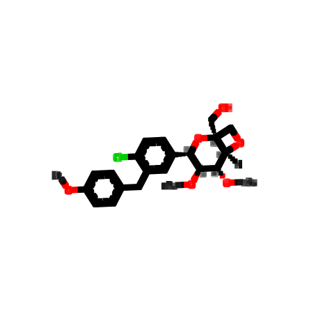 CCCCO[C@@H]1[C@@H](OCCCC)[C@@H]2OC[C@]2(CO)O[C@H]1c1ccc(Cl)c(Cc2ccc(OCC)cc2)c1